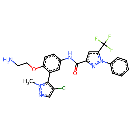 Cn1ncc(Cl)c1-c1cc(NC(=O)c2cc(C(F)(F)F)n(-c3ccccc3)n2)ccc1OCCN